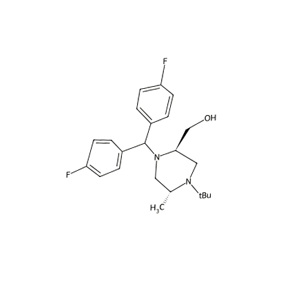 C[C@@H]1CN(C(c2ccc(F)cc2)c2ccc(F)cc2)[C@@H](CO)CN1C(C)(C)C